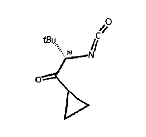 CC(C)(C)[C@H](N=C=O)C(=O)C1CC1